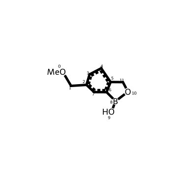 COCc1ccc2c(c1)B(O)OC2